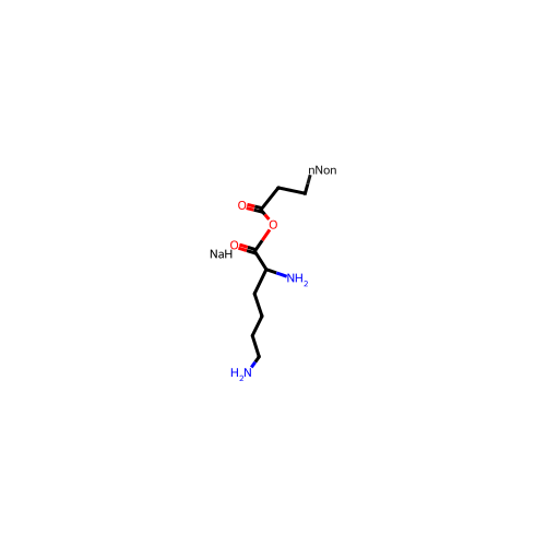 CCCCCCCCCCCC(=O)OC(=O)C(N)CCCCN.[NaH]